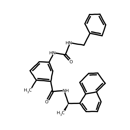 Cc1ccc(NC(=O)NCc2ccccc2)cc1C(=O)N[C@H](C)c1cccc2ccccc12